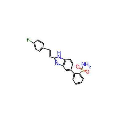 NS(=O)(=O)c1ccccc1-c1ccc2[nH]c(C=Cc3ccc(F)cc3)nc2c1